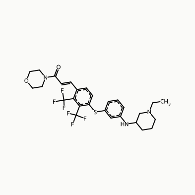 CCN1CCCC(Nc2cccc(Sc3ccc(/C=C/C(=O)N4CCOCC4)c(C(F)(F)F)c3C(F)(F)F)c2)C1